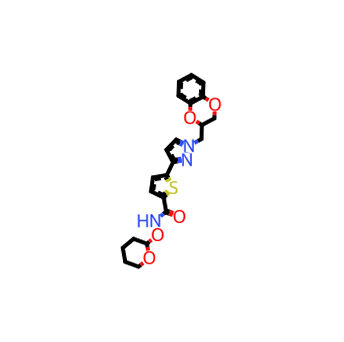 O=C(NOC1CCCCO1)c1ccc(-c2ccn(CC3COc4ccccc4O3)n2)s1